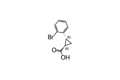 O=C(O)[C@@H]1C[C@H]1c1ccccc1Br